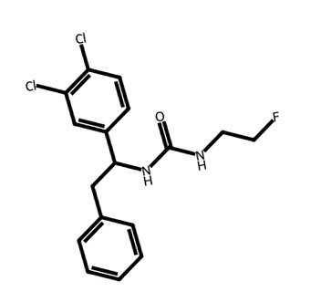 O=C(NCCF)NC(Cc1ccccc1)c1ccc(Cl)c(Cl)c1